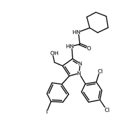 O=C(Nc1nn(-c2ccc(Cl)cc2Cl)c(-c2ccc(I)cc2)c1CO)NC1CCCCC1